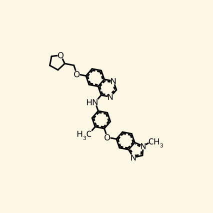 Cc1cc(Nc2ncnc3ccc(OCC4CCCO4)cc23)ccc1Oc1ccc2c(c1)ncn2C